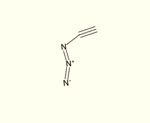 C#CN=[N+]=[N-]